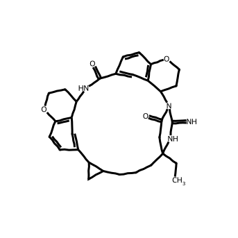 CCC12CCCC3CC3c3ccc4c(c3)C(CCO4)NC(=O)c3ccc4c(c3)C(CCO4)N(C(=N)N1)C(=O)C2